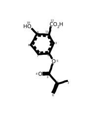 C=C(C)C(=O)Oc1ccc(O)c(C(=O)O)c1